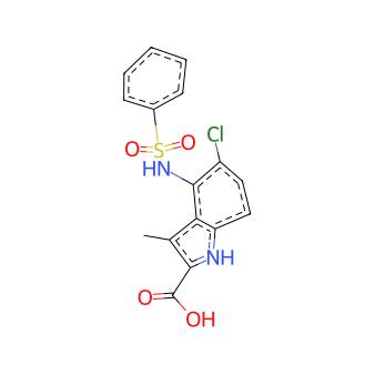 Cc1c(C(=O)O)[nH]c2ccc(Cl)c(NS(=O)(=O)c3ccccc3)c12